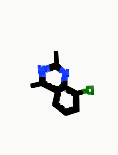 Cc1nc(C)c2cccc(Cl)c2n1